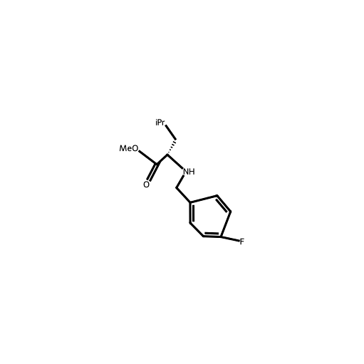 COC(=O)[C@H](CC(C)C)NCc1ccc(F)cc1